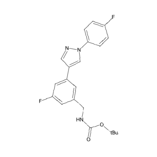 CC(C)(C)OC(=O)NCc1cc(F)cc(-c2cnn(-c3ccc(F)cc3)c2)c1